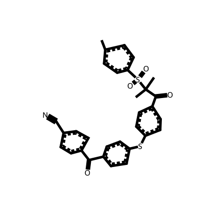 Cc1ccc(S(=O)(=O)C(C)(C)C(=O)c2ccc(Sc3ccc(C(=O)c4ccc(C#N)cc4)cc3)cc2)cc1